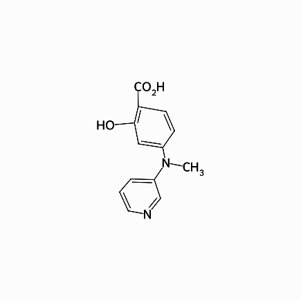 CN(c1cccnc1)c1ccc(C(=O)O)c(O)c1